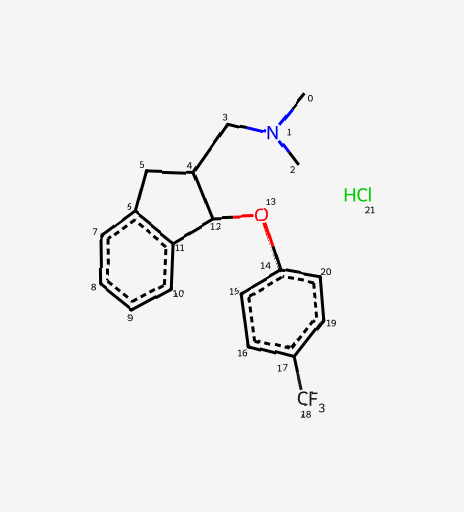 CN(C)CC1Cc2ccccc2C1Oc1ccc(C(F)(F)F)cc1.Cl